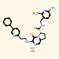 Cc1nc(N)ccc1CNC(=O)[C@@H]1CCc2cnc(NCCc3ccc(-c4ccccc4)cn3)c(=O)n21.Cl.Cl